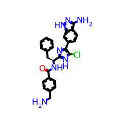 NCc1ccc(C(=O)N[C@@H](Cc2ccccc2)c2nc(-c3ccc4c(N)n[nH]c4c3)c(Cl)[nH]2)cc1